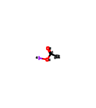 CCC(=O)OI